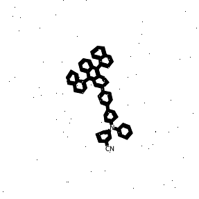 N#Cc1cccc(N(c2ccccc2)c2ccc(-c3ccc(-c4ccc5c(-c6cccc7ccccc67)c6ccccc6c(-c6cccc7ccccc67)c5c4)cc3)cc2)c1